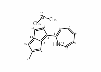 CC1=CC2=C(C3=CC=CC=CN3)C=CC2=C1.[Cl][Zr][Cl]